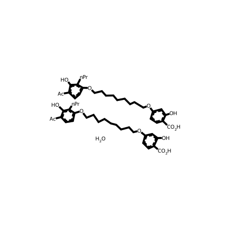 CCCc1c(OCCCCCCCCCOc2ccc(C(=O)O)c(O)c2)ccc(C(C)=O)c1O.CCCc1c(OCCCCCCCCCOc2ccc(C(=O)O)c(O)c2)ccc(C(C)=O)c1O.O